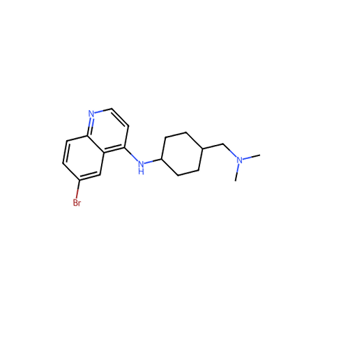 CN(C)CC1CCC(Nc2ccnc3ccc(Br)cc23)CC1